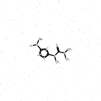 CCCC[S+]([O-])c1nnc(N(C)C(=O)N(C)C)s1